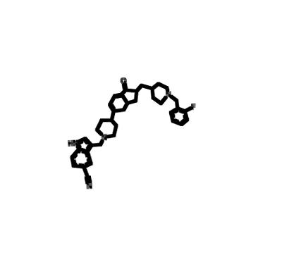 N#Cc1ccc2[nH]cc(CN3CCC(C4=CC=C5C(=O)C(CC6CCN(Cc7ccccc7F)CC6)CC5C4)CC3)c2c1